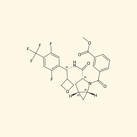 COC(=O)c1cccc(C(=O)N2[C@@H](C(=O)N[C@@H](c3cc(F)c(C(F)(F)F)cc3F)C3COC3)C[C@H]3C[C@H]32)c1